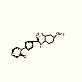 COC1CCC(NC(=O)c2ccc(-n3ccncc3=O)cc2)C(N)C1